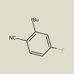 CC(C)(C)c1cc(F)ccc1C#N